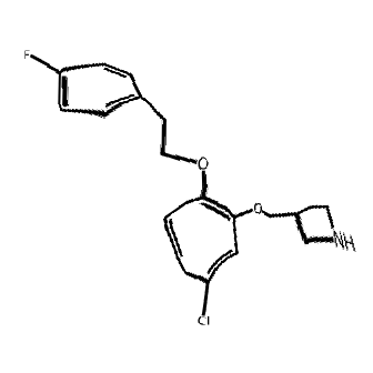 Fc1ccc(CCOc2ccc(Cl)cc2OC2CNC2)cc1